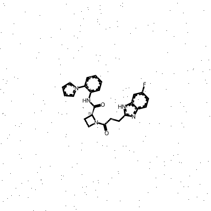 O=C(Nc1ccccc1-n1cccc1)[C@@H]1CCN1C(=O)CCc1nc2ccc(F)cc2[nH]1